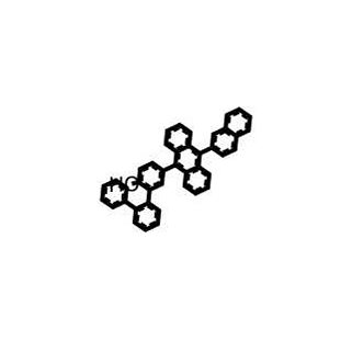 Oc1ccc(-c2c3ccccc3c(-c3ccc4ccccc4c3)c3ccccc23)cc1-c1ccccc1-c1ccccc1